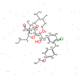 CCCCO[C@H]([C@@H](OCCCC)[C@H](OCCCC)[C@](C)(C=O)CC)[C@@H](O)c1ccc(Cl)c(Cc2ccc(OCC)cc2)c1